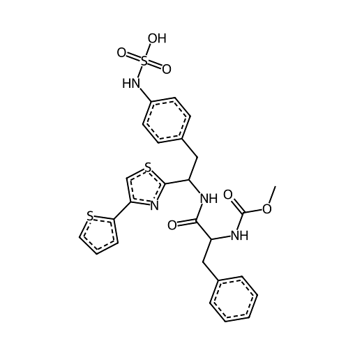 COC(=O)NC(Cc1ccccc1)C(=O)NC(Cc1ccc(NS(=O)(=O)O)cc1)c1nc(-c2cccs2)cs1